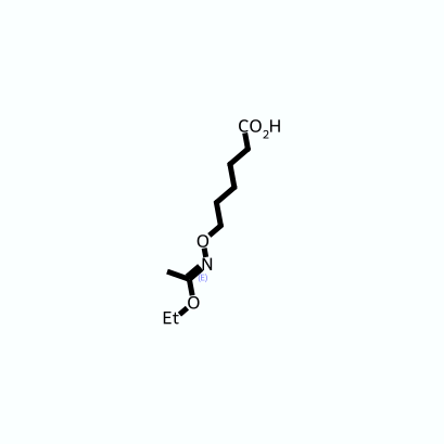 CCO/C(C)=N/OCCCCCC(=O)O